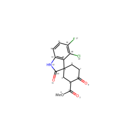 COC(=O)C1CC2(CCC1=O)C(=O)Nc1ccc(F)c(Cl)c12